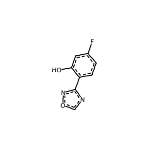 Oc1cc(F)ccc1-c1ncon1